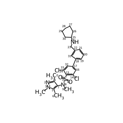 Cc1nn(C)c(C)c1N(C)S(=O)(=O)c1c(Cl)cc(-c2cccc(CNC3CCCCC3)c2)cc1Cl